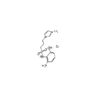 C[n+]1ccn(CCCS(=O)(=O)Nc2c(N)cccc2O)c1.[Cl-]